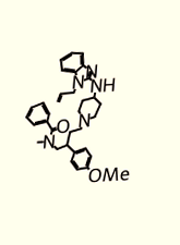 C=CCn1c(NC2CCN(CCC(CN(C)C(=O)c3ccccc3)c3ccc(OC)cc3)CC2)nc2ccccc21